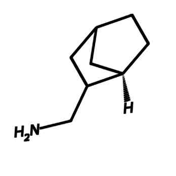 NCC1CC2CC[C@@H]1C2